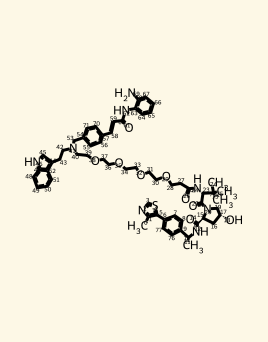 Cc1ncsc1-c1ccc([C@H](C)NC(=O)[C@@H]2C[C@@H](O)CN2C(=O)[C@@H](NC(=O)CCOCCOCCOCCOCCN(CCc2c[nH]c3ccccc23)Cc2ccc(/C=C/C(=O)Nc3ccccc3N)cc2)C(C)(C)C)cc1